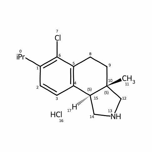 CC(C)c1ccc2c(c1Cl)CC[C@]1(C)CNC[C@@H]21.Cl